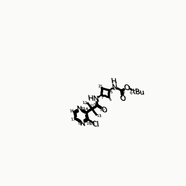 CC(C)(C)OC(=O)N[C@H]1C[C@@H](NC(=O)C(C)(C)c2nccnc2Cl)C1